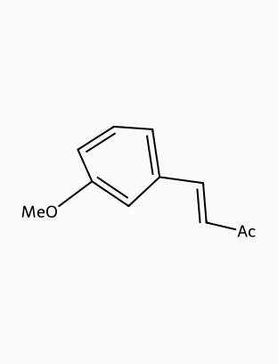 COc1cccc(C=CC(C)=O)c1